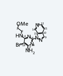 COCCNc1nc(-n2ncc3ccncc32)nc(N)c1Br